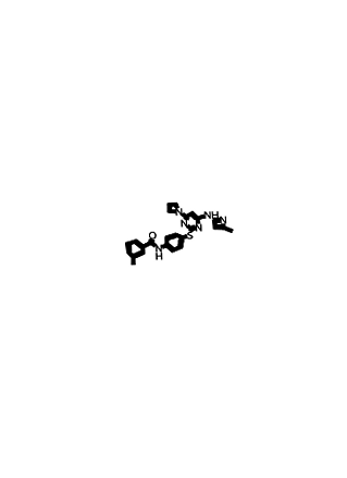 CC1=CC(Nc2cc(N3CCC3)nc(Sc3ccc(NC(=O)c4cccc(C)c4)cc3)n2)=N1